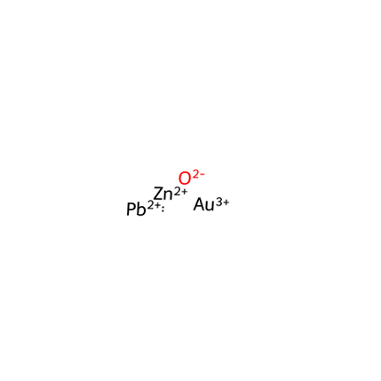 [Au+3].[O-2].[Pb+2].[Zn+2]